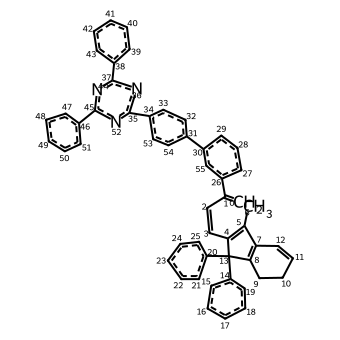 C=C(/C=C\C1=C(C)C2=C(CCC=C2)C1(c1ccccc1)c1ccccc1)c1cccc(-c2ccc(-c3nc(-c4ccccc4)nc(-c4ccccc4)n3)cc2)c1